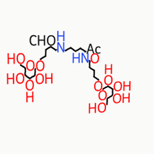 CC(=O)[C@@H](CCCCNCC(C=O)CCCOC1OC(CO)C(O)C(O)C1O)NC(=O)CCCCOC1OC(CO)C(O)C(O)C1O